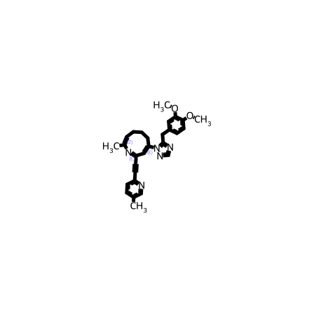 COc1ccc(Cc2ncnn2/C2=C/C(C#Cc3ccc(C)cn3)=N\C(C)=C/CCC2)cc1OC